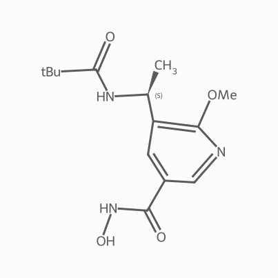 COc1ncc(C(=O)NO)cc1[C@H](C)NC(=O)C(C)(C)C